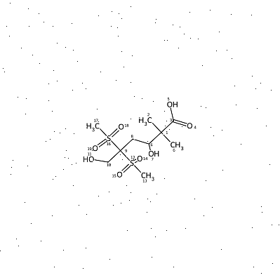 CC(C)(C(=O)O)C(O)CC(CO)(S(C)(=O)=O)S(C)(=O)=O